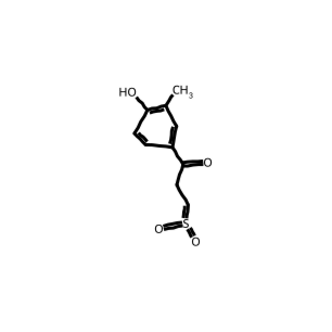 Cc1cc(C(=O)CC=S(=O)=O)ccc1O